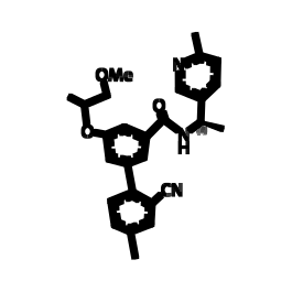 COCC(C)Oc1cc(C(=O)N[C@H](C)c2ccc(C)nc2)cc(-c2ccc(C)cc2C#N)c1